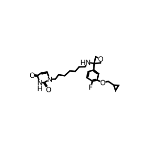 O=c1ccn(CCCCCCCNC2(c3ccc(F)c(OCC4CC4)c3)COC2)c(=O)[nH]1